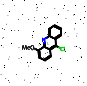 COc1cccc2c(Cl)c3ccccc3nc12